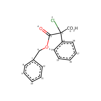 O=C(O)C(Cl)(C(=O)OCc1ccccc1)c1ccccc1